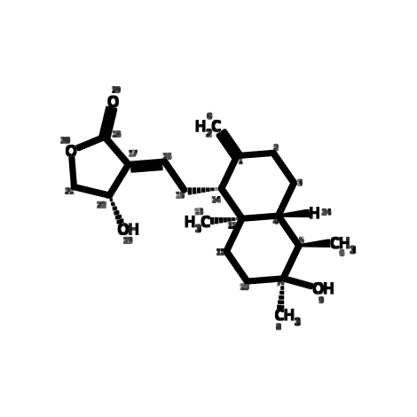 C=C1CC[C@@H]2[C@@H](C)[C@@](C)(O)CC[C@@]2(C)[C@@H]1C/C=C1/C(=O)OC[C@H]1O